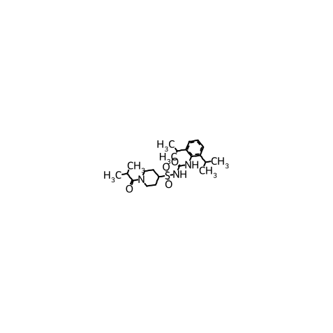 CC(C)C(=O)N1CCC(S(=O)(=O)NC(=O)Nc2c(C(C)C)cccc2C(C)C)CC1